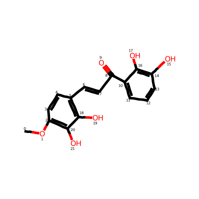 COc1ccc(/C=C/C(=O)c2cccc(O)c2O)c(O)c1O